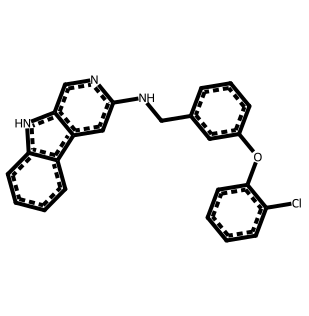 Clc1ccccc1Oc1cccc(CNc2cc3c(cn2)[nH]c2ccccc23)c1